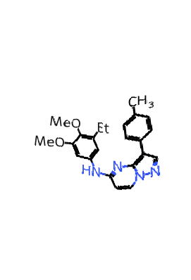 CCc1cc(Nc2ccn3ncc(-c4ccc(C)cc4)c3n2)cc(OC)c1OC